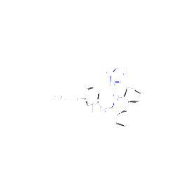 COc1cccc(Nc2nc3c(-c4nnc[nH]4)cccc3c3sccc23)c1